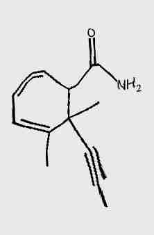 CC#CC1(C)C(C)=CC=CC1C(N)=O